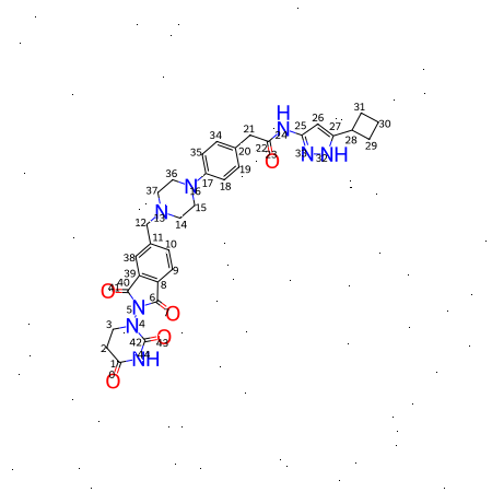 O=C1CCN(N2C(=O)c3ccc(CN4CCN(c5ccc(CC(=O)Nc6cc(C7CCC7)[nH]n6)cc5)CC4)cc3C2=O)C(=O)N1